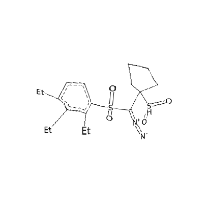 CCc1ccc(S(=O)(=O)C(=[N+]=[N-])C2([SH](=O)=O)CCCC2)c(CC)c1CC